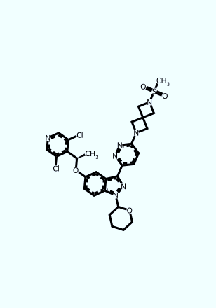 C[C@@H](Oc1ccc2c(c1)c(-c1ccc(N3CC4(C3)CN(S(C)(=O)=O)C4)nn1)nn2C1CCCCO1)c1c(Cl)cncc1Cl